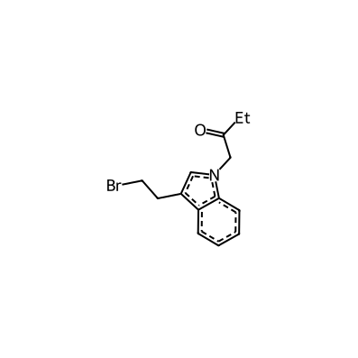 CCC(=O)Cn1cc(CCBr)c2ccccc21